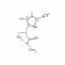 CCC(C(=O)OC)c1nc(Cl)sc1I